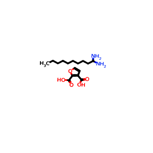 CCCCCCCCCC(N)N.O=C(O)c1ccoc1C(=O)O